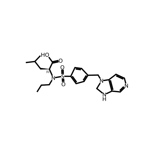 CCCN([C@@H](CC(C)C)C(=O)O)S(=O)(=O)c1ccc(CN2CNc3cnccc32)cc1